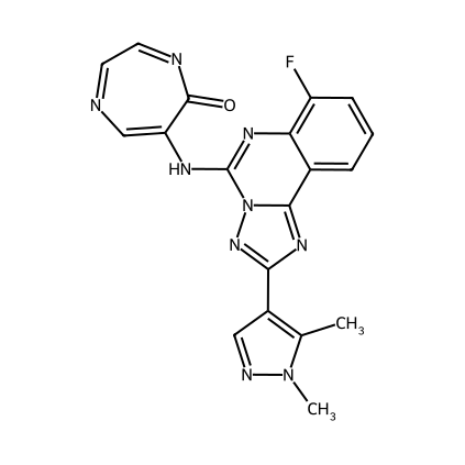 Cc1c(-c2nc3c4cccc(F)c4nc(Nc4cnccnc4=O)n3n2)cnn1C